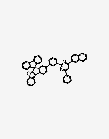 c1ccc(-c2cc(-c3ccc4ccccc4c3)nc(-c3cccc(-c4ccc5c(c4)C4(c6ccccc6-c6ccccc64)c4oc6ccccc6c4-5)c3)n2)cc1